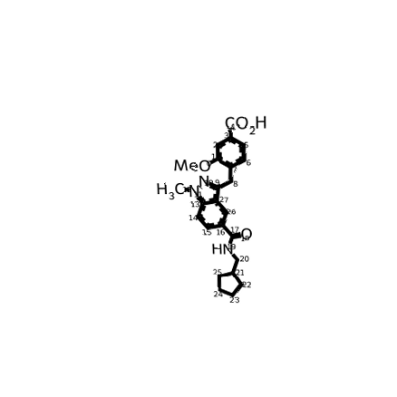 COc1cc(C(=O)O)ccc1Cc1nn(C)c2ccc(C(=O)NCC3CCCC3)cc12